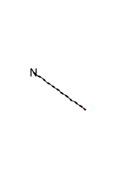 C#CC#CC#CC#CC#CC#CC#CC#CC#CC#CC#CC#N